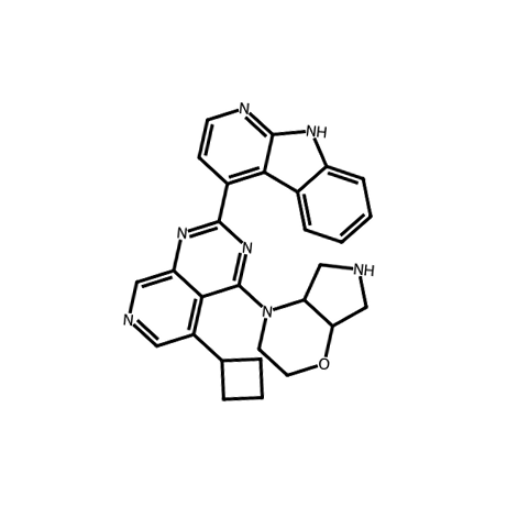 c1ccc2c(c1)[nH]c1nccc(-c3nc(N4CCOC5CNCC54)c4c(C5CCC5)cncc4n3)c12